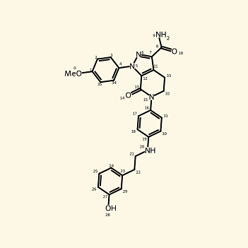 COc1ccc(-n2nc(C(N)=O)c3c2C(=O)N(c2ccc(NCCc4cccc(O)c4)cc2)CC3)cc1